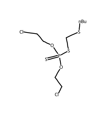 CCCCSCSP(=S)(OCCCl)OCCCl